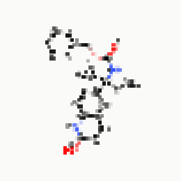 CC(C)(C)CC(NC(=O)OCc1ccccc1)(C(=O)O)c1ccc2nc(O)ccc2c1